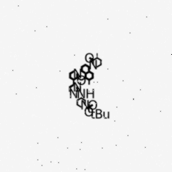 Cc1ccc2c(N3CCC[C@H](C)C3=O)cccc2c1Oc1ncccc1-c1ccnc(N[C@H]2CCCN(C(=O)OC(C)(C)C)C2)n1